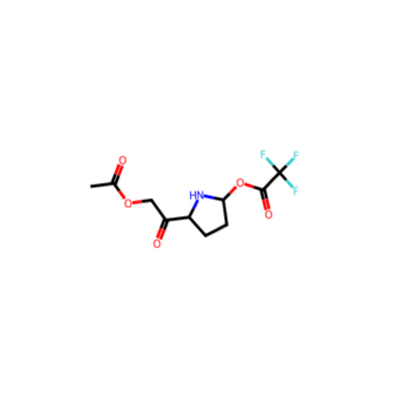 CC(=O)OCC(=O)C1CCC(OC(=O)C(F)(F)F)N1